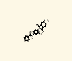 CN1CCN2C(=O)N(c3ccc(NC(=O)c4ccccn4)cc3Cl)C(=O)C2C1